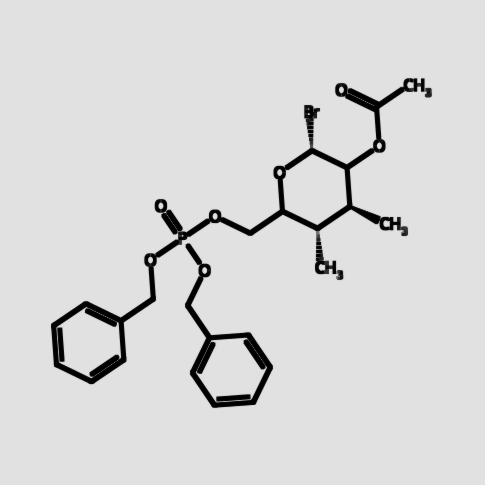 CC(=O)OC1[C@@H](C)[C@H](C)C(COP(=O)(OCc2ccccc2)OCc2ccccc2)O[C@@H]1Br